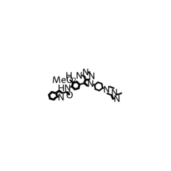 COc1cc(-c2cn(C3CCC(N4CCn5c(cnc5C)C4)CC3)c3ncnc(N)c23)ccc1NC(=O)c1cc2ccccc2n1C